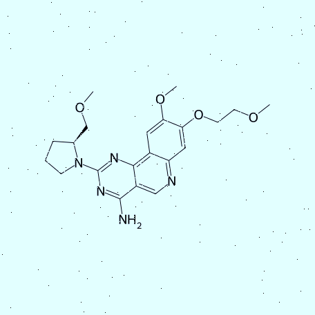 COCCOc1cc2ncc3c(N)nc(N4CCC[C@H]4COC)nc3c2cc1OC